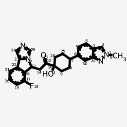 Cn1cc2ccc(C3CCC(O)(C(=O)CC4c5c(F)cccc5-c5cncn54)CC3)cc2n1